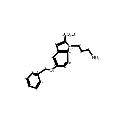 CCOC(=O)c1cc2cc(OCc3ccccc3)ccc2n1CCCN